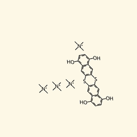 C[N+](C)(C)C.C[N+](C)(C)C.C[N+](C)(C)C.C[N+](C)(C)C.Oc1ccc(O)c2cc3c(cc12)Sc1cc2c(O)ccc(O)c2cc1S3